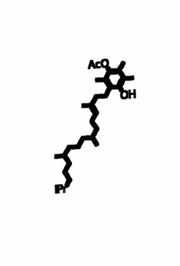 CC(=O)Oc1c(C)c(C)c(O)c(CCC(C)=CCCC(C)CCCC(C)CCCC(C)C)c1C